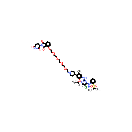 Cc1cc(Nc2ncc(Cl)c(Nc3ccccc3S(=O)(=O)C(C)C)n2)c(OC(C)C)cc1C1CCN(CCOCCOCCOCCOCCOc2cccc3c2C(=O)N(C2CCC(=O)NC2=O)C3=O)CC1